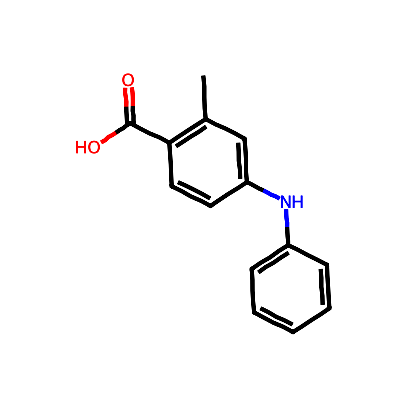 Cc1cc(Nc2ccccc2)ccc1C(=O)O